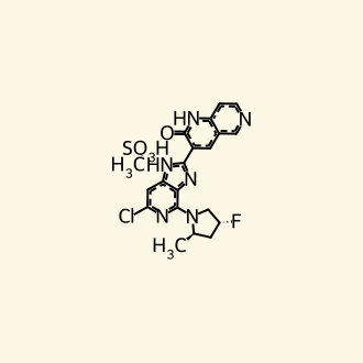 CS(=O)(=O)O.C[C@@H]1C[C@@H](F)CN1c1nc(Cl)cc2[nH]c(-c3cc4cnccc4[nH]c3=O)nc12